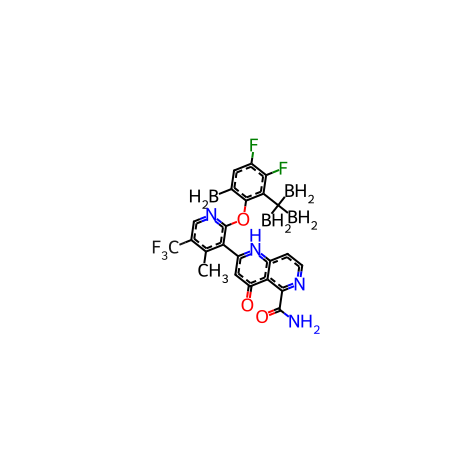 Bc1cc(F)c(F)c(C(B)(B)B)c1Oc1ncc(C(F)(F)F)c(C)c1-c1cc(=O)c2c(C(N)=O)nccc2[nH]1